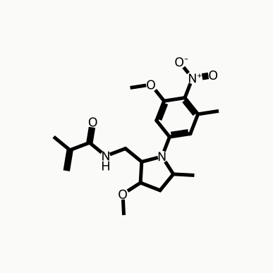 C=C(C)C(=O)NCC1C(OC)CC(C)N1c1cc(C)c([N+](=O)[O-])c(OC)c1